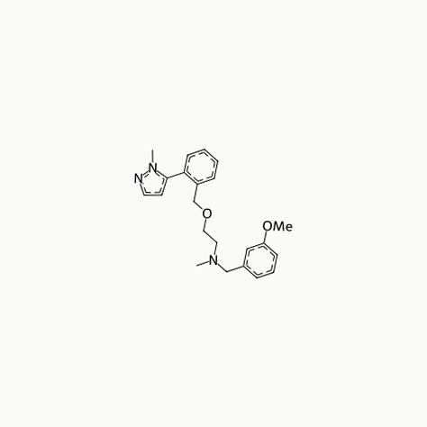 COc1cccc(CN(C)CCOCc2ccccc2-c2ccnn2C)c1